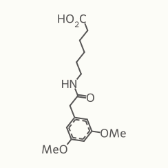 COc1cc(CC(=O)NCCCCCC(=O)O)cc(OC)c1